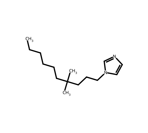 CCCCCCC(C)(C)CCCn1ccnc1